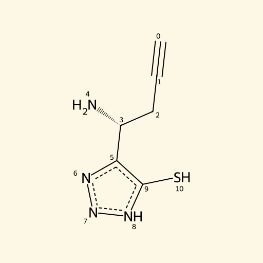 C#CC[C@@H](N)c1nn[nH]c1S